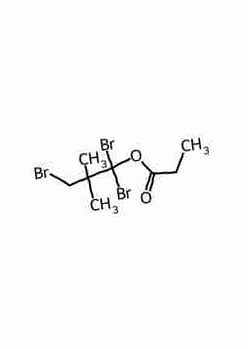 CCC(=O)OC(Br)(Br)C(C)(C)CBr